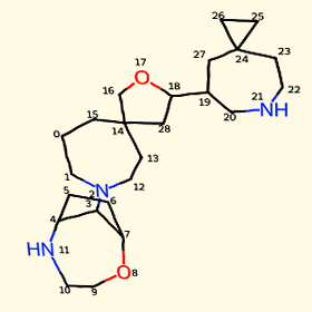 C1CN(C2C3CCC2OCCN3)CCC2(C1)COC(C1CNCCC3(CC3)C1)C2